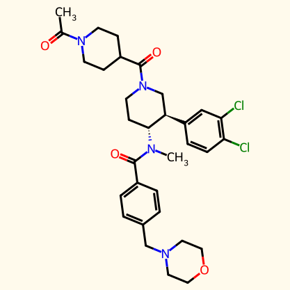 CC(=O)N1CCC(C(=O)N2CC[C@@H](N(C)C(=O)c3ccc(CN4CCOCC4)cc3)[C@H](c3ccc(Cl)c(Cl)c3)C2)CC1